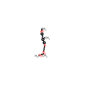 C=CC(=O)Oc1ccc(/C=C/c2ccc(-c3ccc(OCCCCCCOC(=O)C(=C)CC(=O)OC)cc3)cc2CC)cc1